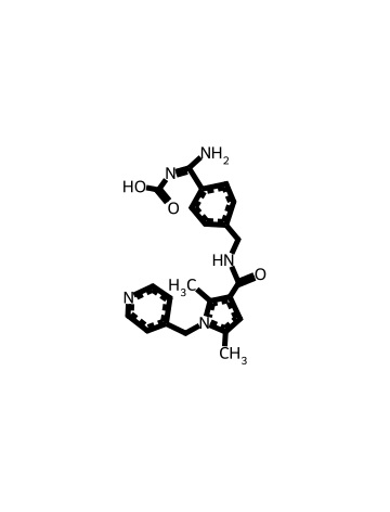 Cc1cc(C(=O)NCc2ccc(/C(N)=N\C(=O)O)cc2)c(C)n1Cc1ccncc1